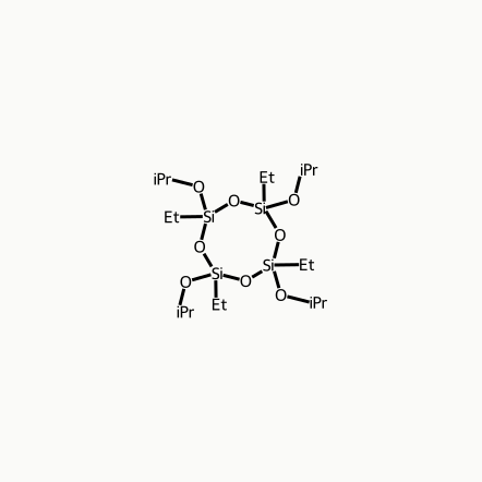 CC[Si]1(OC(C)C)O[Si](CC)(OC(C)C)O[Si](CC)(OC(C)C)O[Si](CC)(OC(C)C)O1